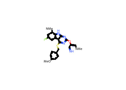 CN/C=C(\C=N)Oc1nc(SCc2ccc(OC)cc2)c2c(n1)[nH]c1c(NC)cc(F)cc12